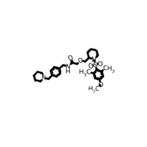 COc1cc(C)c(S(=O)(=O)N2CCCCC2COCC(=O)NCc2ccc(CN3CCCCC3)cc2)c(C)c1